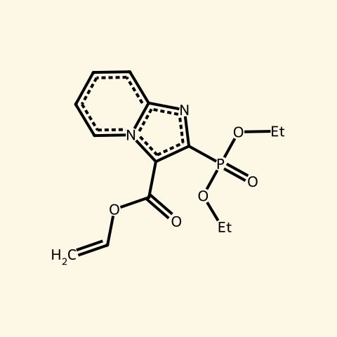 C=COC(=O)c1c(P(=O)(OCC)OCC)nc2ccccn12